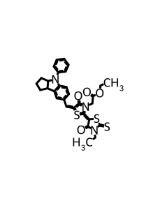 CCOC(=O)Cn1c(=O)/c(=C\c2ccc3c(c2)C2CCCC2N3c2ccccc2)s/c1=C1/SC(=S)N(CC)C1=O